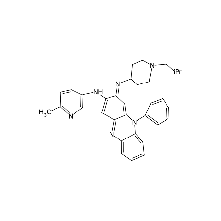 Cc1ccc(Nc2cc3nc4ccccc4n(-c4ccccc4)c-3c/c2=N\C2CCN(CC(C)C)CC2)cn1